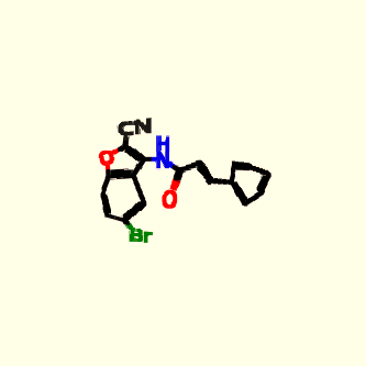 N#Cc1oc2ccc(Br)cc2c1NC(=O)C=Cc1ccccc1